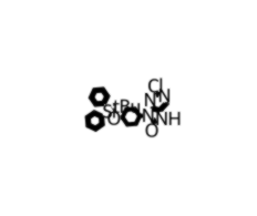 CC(C)(C)[Si](OC1CCC(n2c(=O)[nH]c3cnc(Cl)nc32)CC1)(c1ccccc1)c1ccccc1